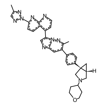 Cc1cnn(-c2ccc3c(-c4cnc5cc(-c6ccc([C@@]78C[C@@H]7CN(C7CCOCC7)C8)cc6)c(C)nn45)ccnc3n2)n1